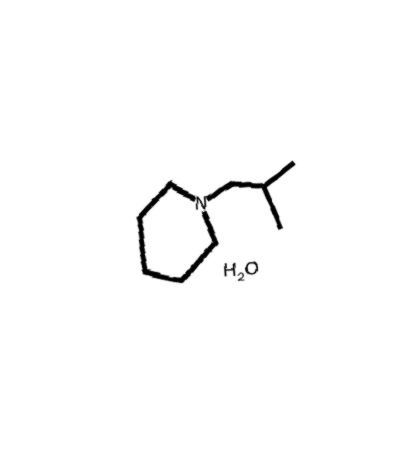 CC(C)CN1CCCCC1.O